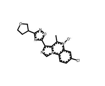 Cc1c2c(-c3nc(C4CCOC4)no3)ncn2c2ccc(Cl)cc2[n+]1[O-]